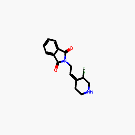 O=C1c2ccccc2C(=O)N1CC=C1CCNCC1F